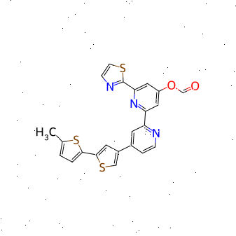 Cc1ccc(-c2cc(-c3ccnc(-c4cc(OC=O)cc(-c5nccs5)n4)c3)cs2)s1